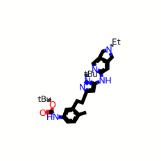 CCN1Cc2cnc(Nc3cc(CCc4cc(NC(=O)OC(C)(C)C)ccc4C)nn3C(C)(C)C)cc2C1